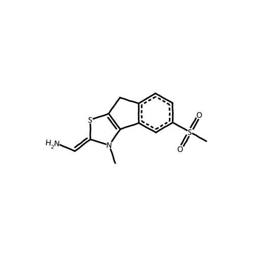 CN1C(=CN)SC2=C1c1cc(S(C)(=O)=O)ccc1C2